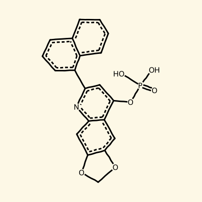 O=P(O)(O)Oc1cc(-c2cccc3ccccc23)nc2cc3c(cc12)OCO3